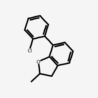 CC1Cc2cccc(-c3ccccc3Cl)c2O1